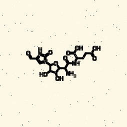 NC(C(=O)NC(CCC(=O)O)C(=O)O)C1OC(n2cc(C=O)[nH]c2=O)C(O)C1O